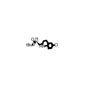 CC(C)(C)OC(=O)NCC1CCc2cc(Cl)ccc2N1